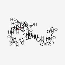 CC[C@H](C)[C@@H]1NC(=O)CNC(=O)[C@@H]2Cc3c([nH]c4ccccc34)SCC(NC(=O)CNC1=O)C(=O)N[C@@H](CC(=O)NCc1ccc(NC(=O)[C@H](C)NC(=O)C(NC(=O)CCN3C(=O)C=CC3=O)C(C)C)cc1)C(=O)N1C[C@H](O)C[C@H]1C(=O)N[C@@H]([C@@H](C)[C@@H](O)CO)C(=O)N2